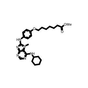 COC(=O)CCCCCCOc1ccc(Nc2nc3ncnc(NC4CCCCC4)c3n2C)cc1